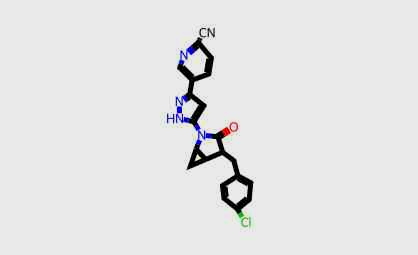 N#Cc1ccc(-c2cc(N3C(=O)C(Cc4ccc(Cl)cc4)C4CC43)[nH]n2)cn1